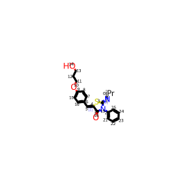 CC(C)/N=C1\S/C(=C\c2ccc(OCCCO)cc2)C(=O)N1c1ccccc1